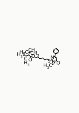 CCn1c(SCCCCCCOC(=O)C(C(C)C)C(C)(C)C)nc(-c2ccccc2)cc1=O